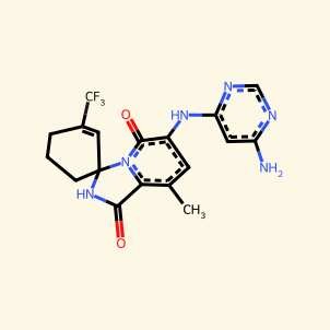 Cc1cc(Nc2cc(N)ncn2)c(=O)n2c1C(=O)NC21C=C(C(F)(F)F)CCC1